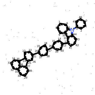 c1ccc(-n2c3ccccc3c3c(-c4ccc(-c5ccc(-c6ccc7c(c6)-c6cccc8cccc-7c68)cc5)cc4)cccc32)cc1